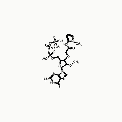 COC1C(OCC(=O)Nc2ccnn2C)C(COP(=O)(O)OP(=O)(O)OP(=O)(O)O)OC1n1cnc2c(=S)[nH]c(N)nc21